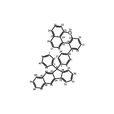 c1ccc(C2(c3ccc(-c4cccc5c4-c4cccc6cccc(c46)O5)cc3)c3ccccc3-c3cc4ccccc4cc32)cc1